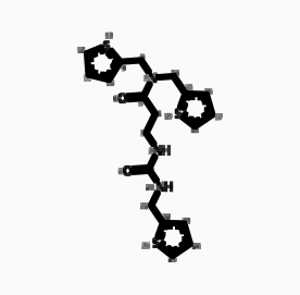 O=C(NCCC(=O)N(Cc1cccs1)Cc1cccs1)NCc1cccs1